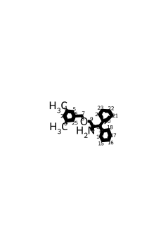 Cc1cc(C)cc(COCC(N)C(c2ccccc2)c2ccccc2)c1